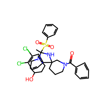 CC(NC1(c2ccc(Cl)c(Cl)c2)CCCN(C(=O)c2ccccc2)C1)(N1CCC(O)CC1)S(=O)(=O)c1ccccc1